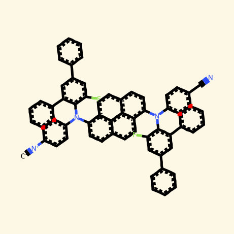 [C-]#[N+]c1ccc(N(c2c(F)cc(-c3ccccc3)cc2-c2ccccc2)c2ccc3ccc4c(N(c5ccc(C#N)cc5)c5c(F)cc(-c6ccccc6)cc5-c5ccccc5)ccc5ccc2c3c54)cc1